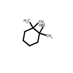 CCCCC1(C)CCC[C]C1(C)C